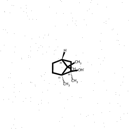 CC1(C)[C@@H]2CC[C@]1(C)[C@](C)(O)C2